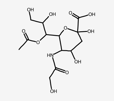 CC(=O)OC(C(O)CO)C1OC(O)(C(=O)O)CC(O)C1NC(=O)CO